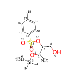 CCC(O[Si](C)(C)C(C)(C)C)C(CO)OS(=O)(=O)c1ccc(C)cc1